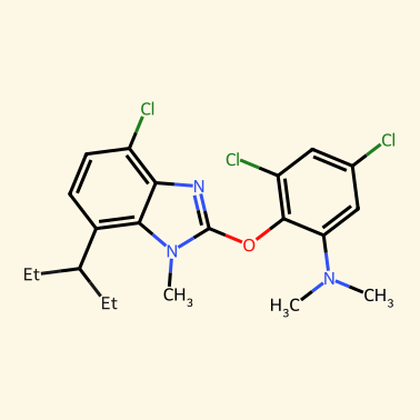 CCC(CC)c1ccc(Cl)c2nc(Oc3c(Cl)cc(Cl)cc3N(C)C)n(C)c12